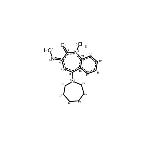 Cn1c(=O)c(=NO)nc(N2CCCCCC2)c2ccccc21